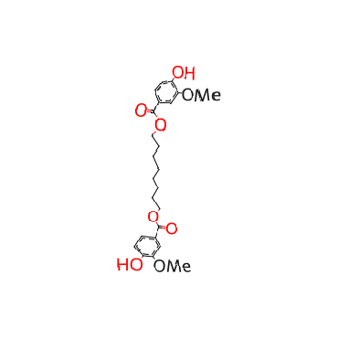 COc1cc(C(=O)OCCCCCCCCOC(=O)c2ccc(O)c(OC)c2)ccc1O